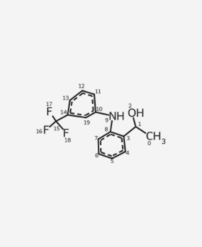 CC(O)c1ccccc1Nc1cccc(C(F)(F)F)c1